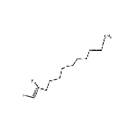 CCCCCCCCCCC(F)=CI